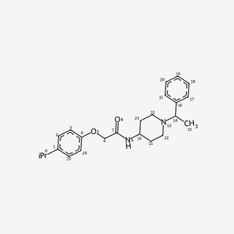 CC(C)c1ccc(OCC(=O)NC2CCN(C(C)c3ccccc3)CC2)cc1